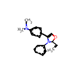 C=CC1OC=C(c2ccc(N(C)C)cc2)N1c1ccccc1